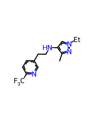 CCn1cc(NCCc2ccc(C(F)(F)F)nc2)c(C)n1